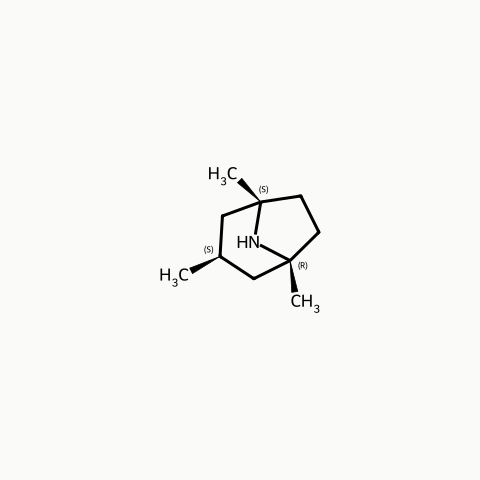 C[C@H]1C[C@]2(C)CC[C@](C)(C1)N2